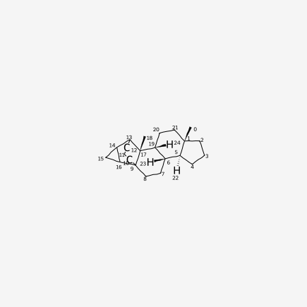 C[C@@]12CCC[C@H]1[C@@H]1CCC34CCCC(C5CC53)[C@]4(C)[C@@H]1CC2